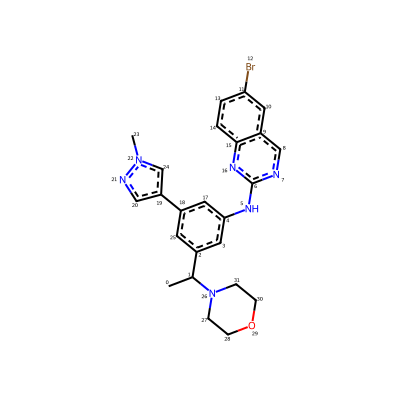 CC(c1cc(Nc2ncc3cc(Br)ccc3n2)cc(-c2cnn(C)c2)c1)N1CCOCC1